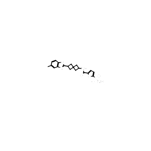 Cc1ccc2oc(C3CC4(CC(NC(=O)c5ccc(S(N)(=O)=O)o5)C4)C3)nc2c1